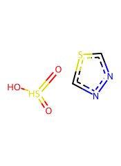 O=[SH](=O)O.c1nncs1